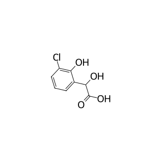 O=C(O)C(O)c1cccc(Cl)c1O